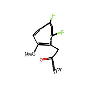 COc1ccc(F)c(F)c1CC(=O)C(C)C